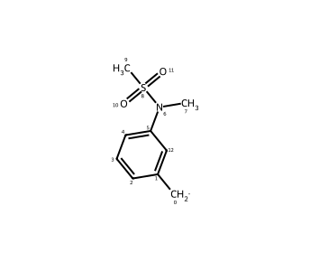 [CH2]c1cccc(N(C)S(C)(=O)=O)c1